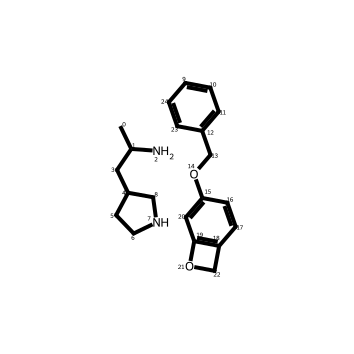 CC(N)CC1CCNC1.c1ccc(COc2ccc3c(c2)OC3)cc1